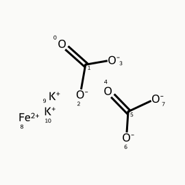 O=C([O-])[O-].O=C([O-])[O-].[Fe+2].[K+].[K+]